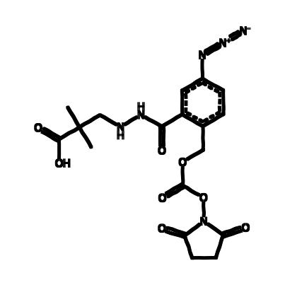 CC(C)(CNNC(=O)c1cc(N=[N+]=[N-])ccc1COC(=O)ON1C(=O)CCC1=O)C(=O)O